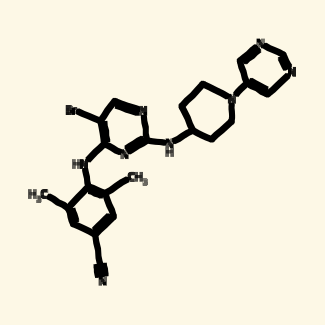 Cc1cc(C#N)cc(C)c1Nc1nc(NC2CCN(c3cncnc3)CC2)ncc1Br